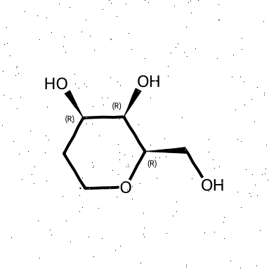 OC[C@H]1O[CH]C[C@@H](O)[C@H]1O